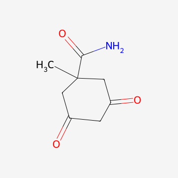 CC1(C(N)=O)CC(=O)CC(=O)C1